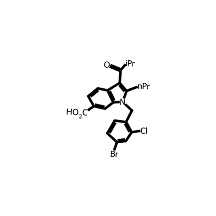 CCCc1c(C(=O)C(C)C)c2ccc(C(=O)O)cc2n1Cc1ccc(Br)cc1Cl